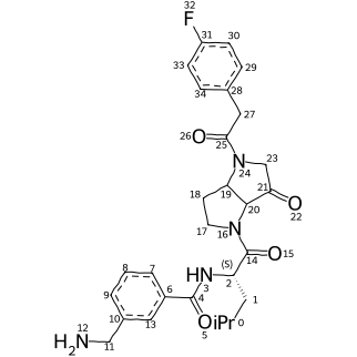 CC(C)C[C@H](NC(=O)c1cccc(CN)c1)C(=O)N1CCC2C1C(=O)CN2C(=O)Cc1ccc(F)cc1